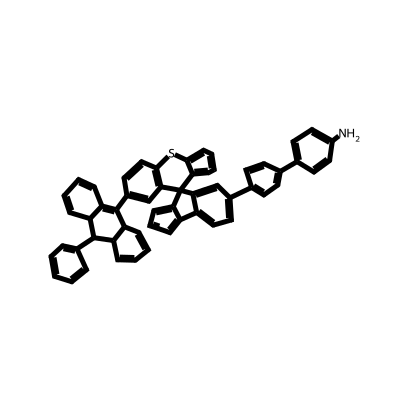 Nc1ccc(-c2ccc(-c3ccc4c(c3)C3(c5ccccc5Sc5ccc(C6=C7C=CC=CC7C(c7ccccc7)C7C=CC=CC67)cc53)c3ccccc3-4)cc2)cc1